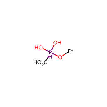 CCO[PH](O)(O)C(=O)O